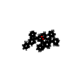 c1ccc(-c2ccc3c(c2)c2ccccc2n3-c2cccc(-n3c4ccccc4c4ccc5c(-c6ccccc6)c(-c6ccccc6)n(-c6ccccc6)c5c43)c2)cc1